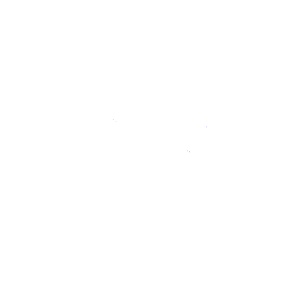 c1ccc(-c2cc(-c3ccccc3)nc(-c3ccc(-c4cccc5c4nc(-c4ccc6c7ccccc7c7ccccc7c6c4)c4sc6ccccc6c45)cc3)n2)cc1